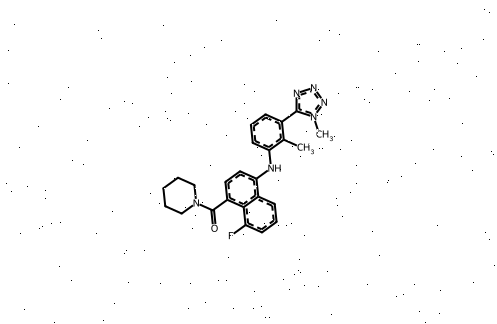 Cc1c(Nc2ccc(C(=O)N3CCCCC3)c3c(F)cccc23)cccc1-c1nnnn1C